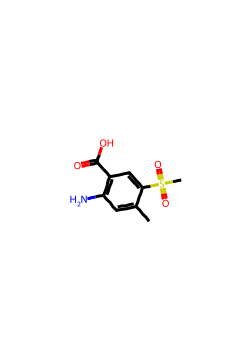 Cc1cc(N)c(C(=O)O)cc1S(C)(=O)=O